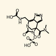 CN(C)C(=O)C12CN(C(=O)N1OS(=O)(=O)O)C(CNC(=O)O)=C1N=NC=C12